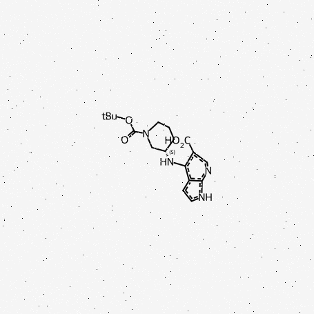 CC(C)(C)OC(=O)N1CCC[C@H](Nc2c(C(=O)O)cnc3[nH]ccc23)C1